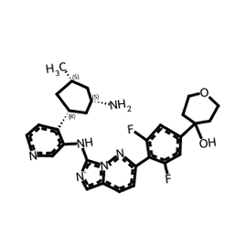 C[C@@H]1C[C@H](N)C[C@H](c2ccncc2Nc2ncc3ccc(-c4c(F)cc(C5(O)CCOCC5)cc4F)nn23)C1